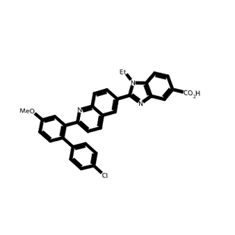 CCn1c(-c2ccc3nc(-c4cc(OC)ccc4-c4ccc(Cl)cc4)ccc3c2)nc2cc(C(=O)O)ccc21